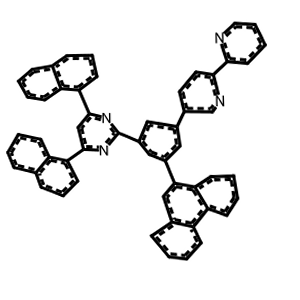 c1ccc(-c2ccc(-c3cc(-c4nc(-c5cccc6ccccc56)cc(-c5cccc6ccccc56)n4)cc(-c4cc5ccccc5c5ccccc45)c3)cn2)nc1